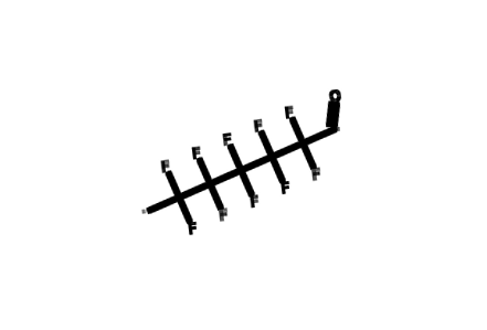 [CH2]C(F)(F)C(F)(F)C(F)(F)C(F)(F)C(F)(F)[C]=O